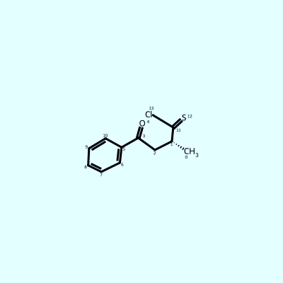 C[C@H](CC(=O)c1ccccc1)C(=S)Cl